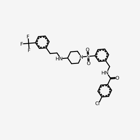 O=C(NCc1cccc(S(=O)(=O)N2CCC(NCCc3cccc(C(F)(F)F)c3)CC2)c1)c1ccc(Cl)cc1